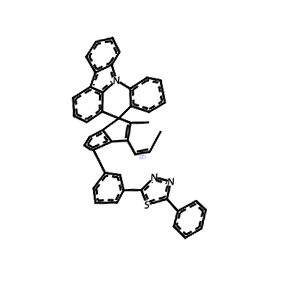 C/C=C\C1=C(C)C2(c3ccccc3-n3c4ccccc4c4cccc2c43)c2cccc(-c3cccc(-c4nnc(-c5ccccc5)s4)c3)c21